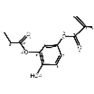 C=C(C)C(=O)Oc1ccc(O)c(OC(=O)CC)c1